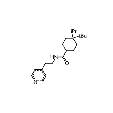 CC(C)C1(C(C)(C)C)CCC(C(=O)NCCc2ccncc2)CC1